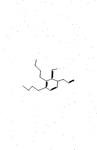 C=CCC1C=CC(CCCC)=C(CCCC)C1=CN